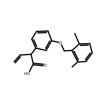 C=CC(C(=O)O)c1cccc(OCc2c(C)cccc2C)c1